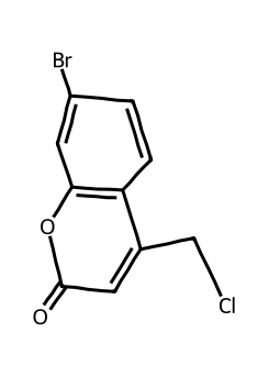 O=c1cc(CCl)c2ccc(Br)cc2o1